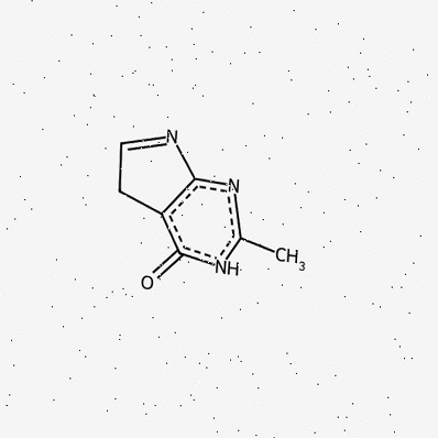 Cc1nc2c(c(=O)[nH]1)CC=N2